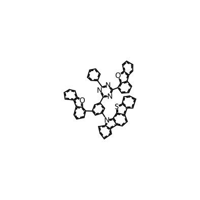 c1ccc(-c2nc(-c3cc(-c4cccc5c4oc4ccccc45)cc(-n4c5ccccc5c5ccc6c7ccccc7sc6c54)c3)nc(-c3cccc4c3oc3ccccc34)n2)cc1